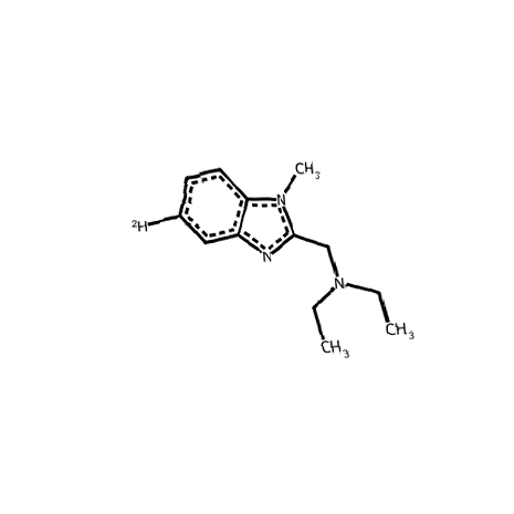 [2H]c1ccc2c(c1)nc(CN(CC)CC)n2C